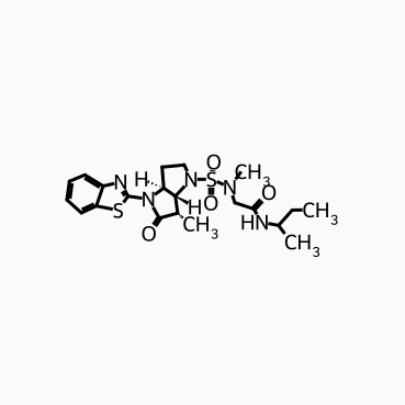 CCC(C)NC(=O)CN(C)S(=O)(=O)N1CC[C@H]2[C@H]1[C@H](C)C(=O)N2c1nc2ccccc2s1